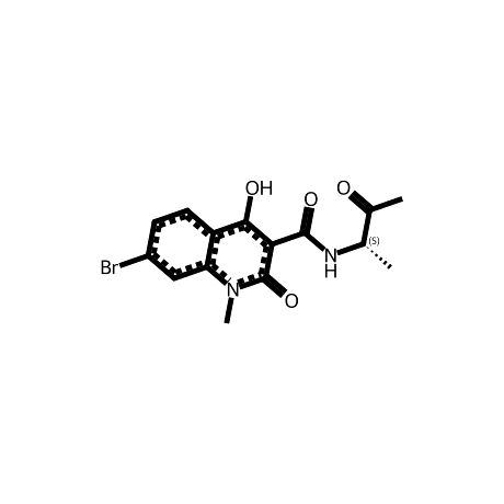 CC(=O)[C@H](C)NC(=O)c1c(O)c2ccc(Br)cc2n(C)c1=O